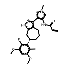 C=CC(=O)Nc1cn(C)nc1-c1n[nH]c2c1CCC[C@H](c1c(F)c(OC)cc(OC)c1F)C2